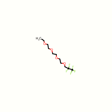 CCOCCOCCOCCOCC(F)(F)C(F)(F)F